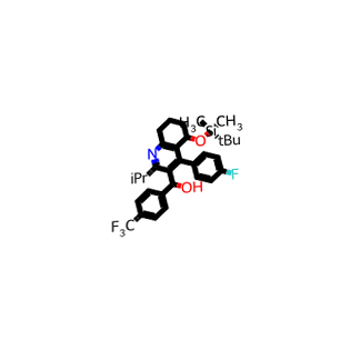 CC(C)c1nc2c(c(-c3ccc(F)cc3)c1C(O)c1ccc(C(F)(F)F)cc1)C(O[Si](C)(C)C(C)(C)C)CCC2